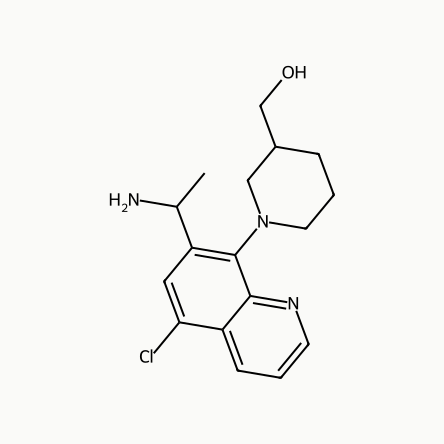 CC(N)c1cc(Cl)c2cccnc2c1N1CCCC(CO)C1